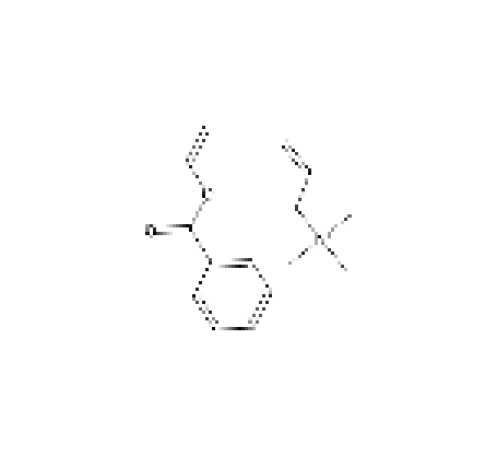 C=CC[N+](C)(C)C.C=COC(=O)c1ccccc1